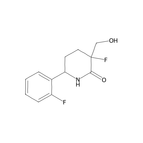 O=C1NC(c2ccccc2F)CCC1(F)CO